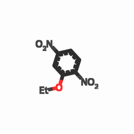 CCOc1cc([N+](=O)[O-])ccc1[N+](=O)[O-]